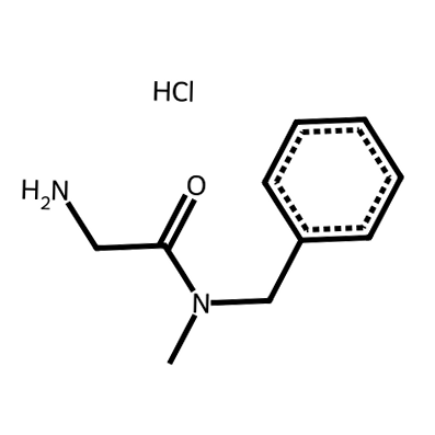 CN(Cc1ccccc1)C(=O)CN.Cl